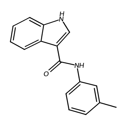 Cc1cccc(NC(=O)c2c[nH]c3ccccc23)c1